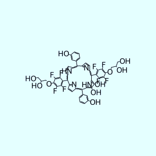 OCC(O)COc1c(F)c(F)c(-c2c3nc(c(-c4cccc(O)c4)c4[nH]c(c(O)c4O)c(-c4c(F)c(F)c(OCC(O)CO)c(F)c4F)c4nc(c(-c5cccc(O)c5)c5ccc2[nH]5)C=C4)C=C3)c(F)c1F